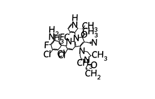 C=CC(=O)N1[C@H](C)CN(c2c(C#N)c(=O)n(C3=C(C)C=CN[C@@H]3C(C)C)c3nc(-c4c(F)c(N)c(F)c(Cl)c4Cl)c(Cl)cc23)C[C@@H]1C